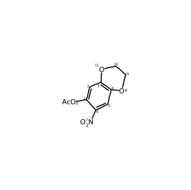 CC(=O)Oc1cc2c(cc1[N+](=O)[O-])OCCO2